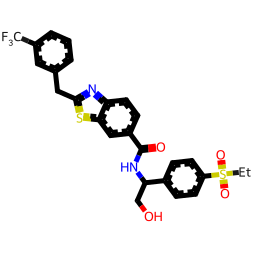 CCS(=O)(=O)c1ccc(C(CO)NC(=O)c2ccc3nc(Cc4cccc(C(F)(F)F)c4)sc3c2)cc1